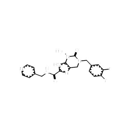 CN1C(=O)N(Cc2ccc(F)c(F)c2)Cc2nc(C(=O)NCc3ccncc3)[nH]c21